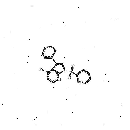 O=S(=O)(c1ccccc1)n1cc(-c2ccccc2)c2c(Br)ccnc21